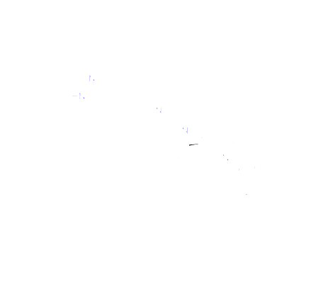 Cc1n[nH]c(C)c1-c1ccc2sc(NC(=O)[C@H]3CCN(C(=O)OC(C)(C)C)C3)nc2c1